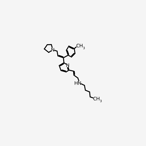 CCCCCNC/C=C/c1cccc(/C(=C/CN2CCCC2)c2ccc(C)cc2)n1